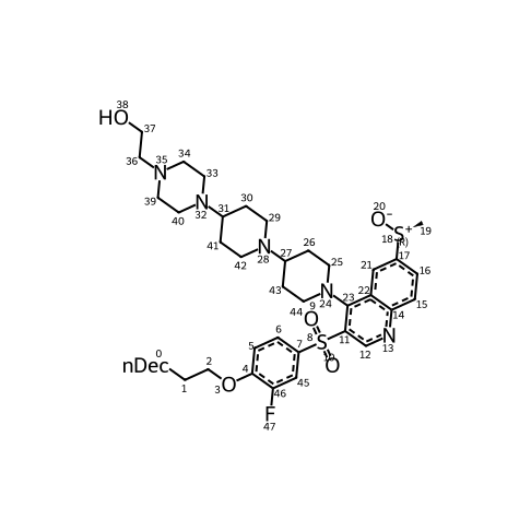 CCCCCCCCCCCCOc1ccc(S(=O)(=O)c2cnc3ccc([S@+](C)[O-])cc3c2N2CCC(N3CCC(N4CCN(CCO)CC4)CC3)CC2)cc1F